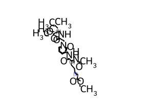 CCOC(=O)/C=C/CC[C@H](NC(C)=O)C(=O)Nc1cccn(CC(=O)N[C@@H](CC(C)(C)C)C(=O)OC)c1=O